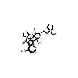 CC[Si](CC)(CC)OC[C@H]1OC(O)(c2ccc3c(N)ccnn23)[C@](C)(O[Si](CC)(CC)CC)[C@@H]1C